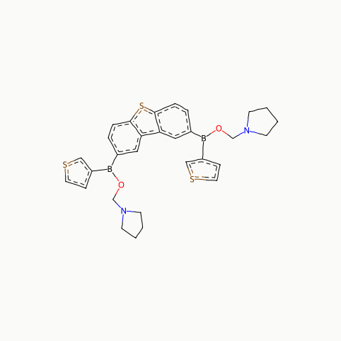 c1cc(B(OCN2CCCC2)c2ccc3sc4ccc(B(OCN5CCCC5)c5ccsc5)cc4c3c2)cs1